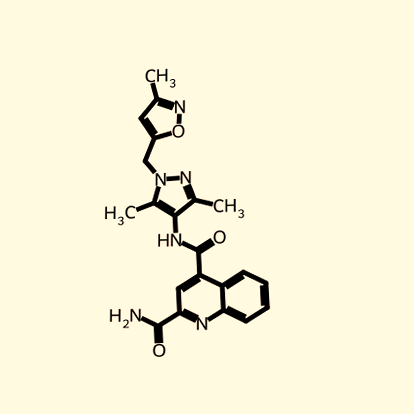 Cc1cc(Cn2nc(C)c(NC(=O)c3cc(C(N)=O)nc4ccccc34)c2C)on1